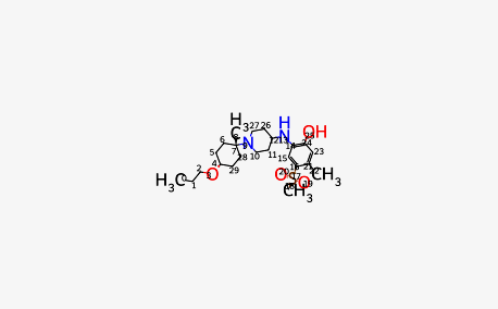 CCCO[C@H]1CC[C@](C)(N2CCC(Nc3cc(S(C)(=O)=O)c(C)cc3O)CC2)CC1